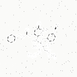 COCC1(COC)Oc2ccc(C#N)cc2CC1(O)Nc1n[nH]c(=O)cc1CC(=O)OCc1ccccc1